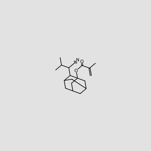 C=C(C)C(=O)OC12CC3CC(CC(C3)C1C(C#N)C(C)C)C2